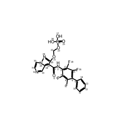 O=C(Nc1c(F)c(F)c(-c2ccccc2)c(F)c1F)c1c(OCOP(=O)(O)O)nn2ccncc12